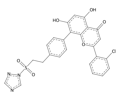 O=c1cc(-c2ccccc2Cl)oc2c(-c3ccc(CCS(=O)(=O)n4cncn4)cc3)c(O)cc(O)c12